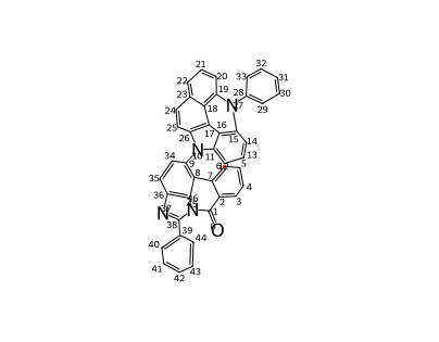 O=c1c2ccccc2c2c(-n3c4cccc5c4c4c6c(cccc6ccc43)N5c3ccccc3)ccc3nc(-c4ccccc4)n1c32